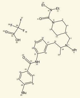 CCCN(CC1CCN(C(=O)N(CC)CC)CC1)C(C)Cc1cccc(NC(=O)c2ccc(C(C)(C)C)cc2)c1.O=C(O)C(F)(F)F